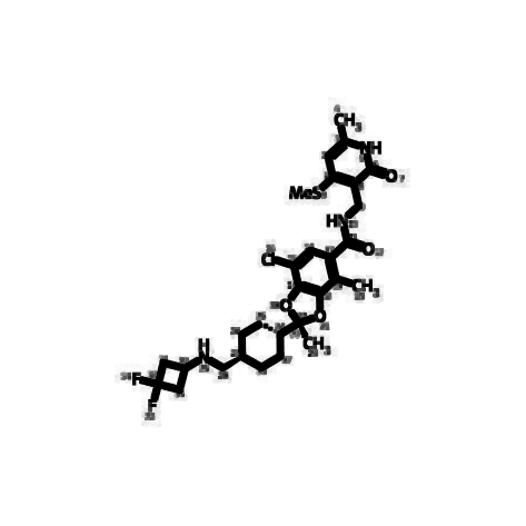 CSc1cc(C)[nH]c(=O)c1CNC(=O)c1cc(Cl)c2c(c1C)O[C@](C)([C@H]1CC[C@H](CNC3CC(F)(F)C3)CC1)O2